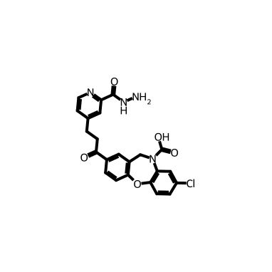 NNC(=O)c1cc(CCC(=O)c2ccc3c(c2)CN(C(=O)O)c2cc(Cl)ccc2O3)ccn1